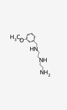 COc1cccc(CNCCNCCN)c1